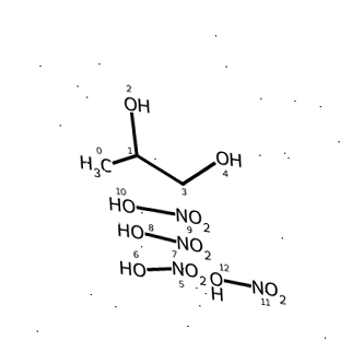 CC(O)CO.O=[N+]([O-])O.O=[N+]([O-])O.O=[N+]([O-])O.O=[N+]([O-])O